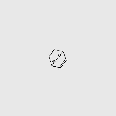 C1=CC2CCC1OP2